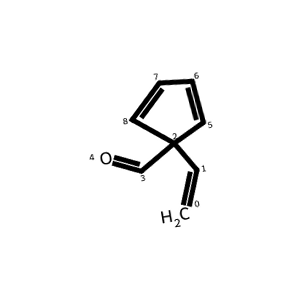 C=CC1(C=O)C=CC=C1